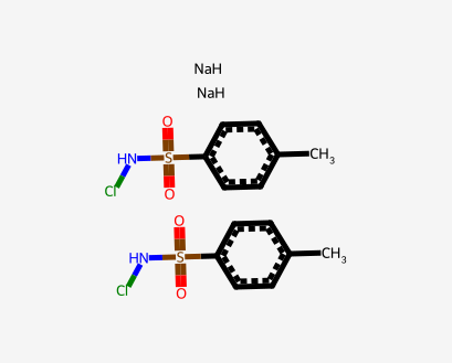 Cc1ccc(S(=O)(=O)NCl)cc1.Cc1ccc(S(=O)(=O)NCl)cc1.[NaH].[NaH]